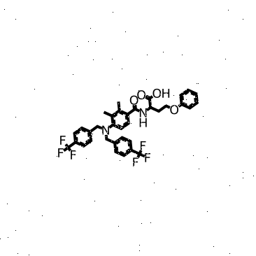 Cc1c(C(=O)NC(CCOc2ccccc2)C(=O)O)ccc(N(Cc2ccc(C(F)(F)F)cc2)Cc2ccc(C(F)(F)F)cc2)c1C